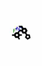 Cc1cc(C)c(F)c(-c2c3cc(C4CCCC4)ccc3cc[n+]2C)c1C